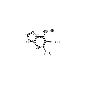 CCNc1c(C(=O)O)c(C)nc2scnc12